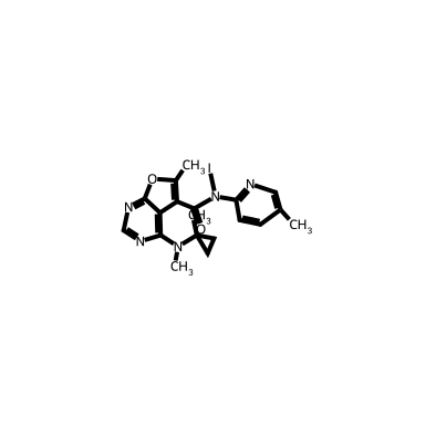 Cc1ccc(N(I)C(=O)c2c(C)oc3ncnc(N(C)C4(C)CC4)c23)nc1